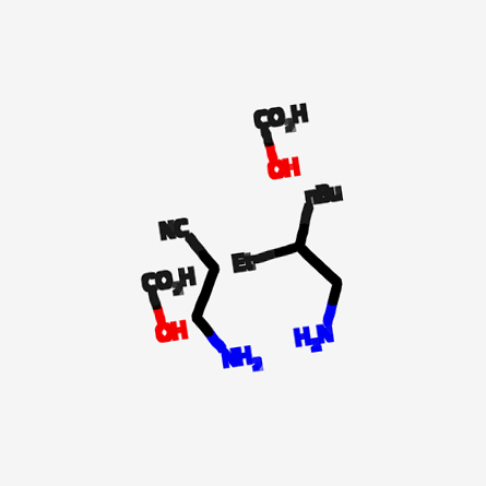 CCCCC(CC)CN.N#CCCN.O=C(O)O.O=C(O)O